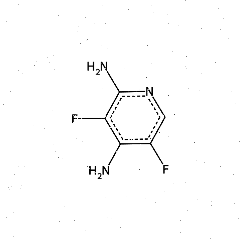 Nc1ncc(F)c(N)c1F